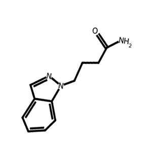 NC(=O)CCCn1ncc2ccccc21